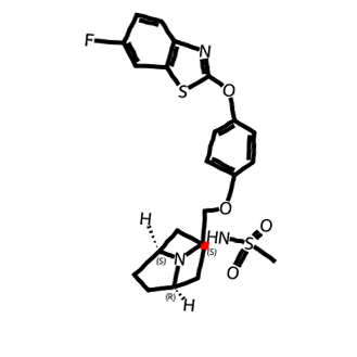 CS(=O)(=O)N[C@@H]1C[C@H]2CC[C@@H](C1)N2CCOc1ccc(Oc2nc3ccc(F)cc3s2)cc1